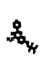 CC(NC(=O)c1ccncc1)c1ccc(OCC(F)(F)C(F)F)nc1